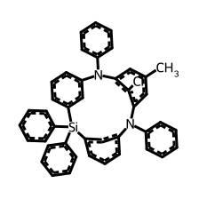 Cc1cc2c(Cl)c(c1)N(c1ccccc1)c1cccc(c1)[Si](c1ccccc1)(c1ccccc1)c1cccc(c1)N2c1ccccc1